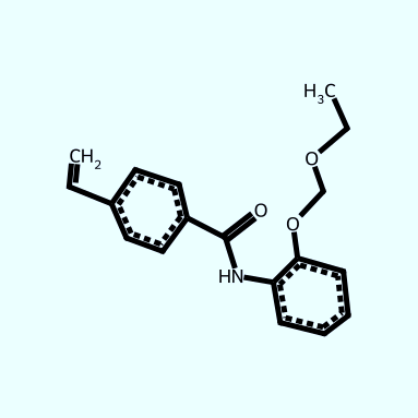 C=Cc1ccc(C(=O)Nc2ccccc2OCOCC)cc1